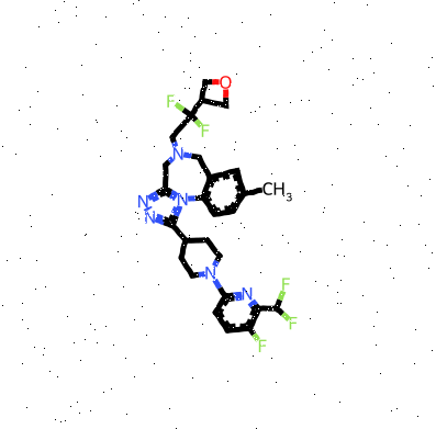 Cc1ccc2c(c1)CN(CC(F)(F)C1COC1)Cc1nnc(C3CCN(c4ccc(F)c(C(F)F)n4)CC3)n1-2